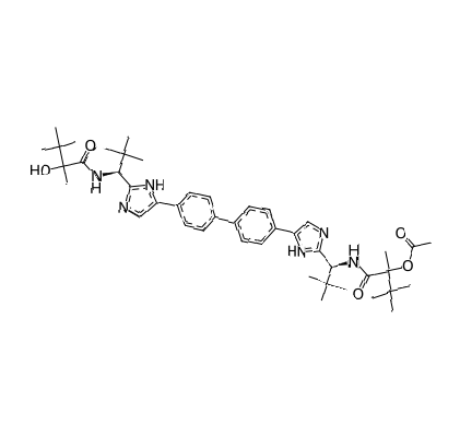 CC(=O)OC(C)(C(=O)N[C@H](c1ncc(-c2ccc(-c3ccc(-c4cnc([C@@H](NC(=O)C(C)(O)C(C)(C)C)C(C)(C)C)[nH]4)cc3)cc2)[nH]1)C(C)(C)C)C(C)(C)C